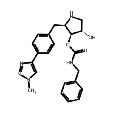 Cn1cc(-c2ccc(C[C@H]3NC[C@H](O)[C@H]3OC(=O)NCc3ccccc3)cc2)nn1